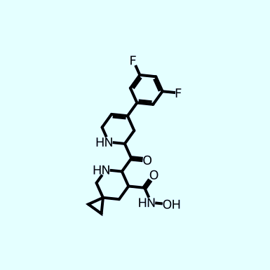 O=C(NO)C1CC2(CC2)CNC1C(=O)C1CC(c2cc(F)cc(F)c2)=CCN1